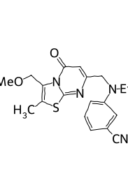 CCN(Cc1cc(=O)n2c(COC)c(C)sc2n1)c1cccc(C#N)c1